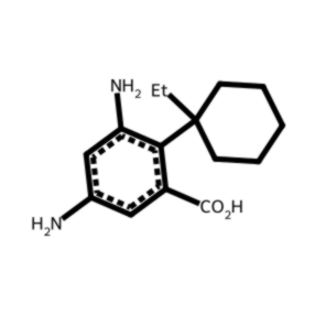 CCC1(c2c(N)cc(N)cc2C(=O)O)CCCCC1